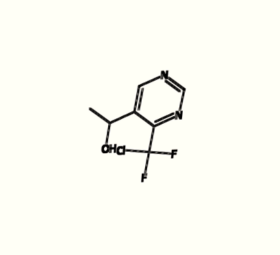 CC(O)c1cncnc1C(F)(F)Cl